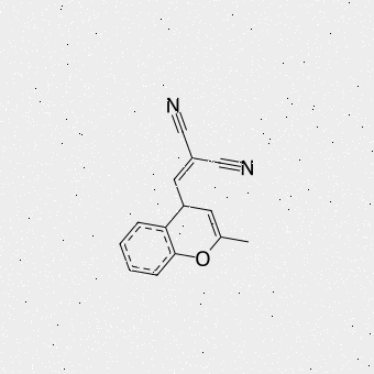 CC1=CC(C=C(C#N)C#N)c2ccccc2O1